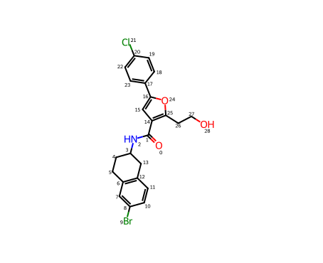 O=C(NC1CCc2cc(Br)ccc2C1)c1cc(-c2ccc(Cl)cc2)oc1CCO